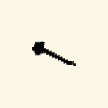 NCCCCCCCCCCCCCCCCCCC(=O)OC(c1ccccc1[N+](=O)[O-])c1ccccc1[N+](=O)[O-]